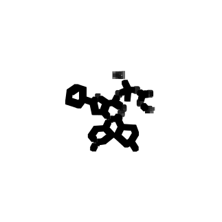 CC1CCC(C(=O)N(c2cc(-c3ccccc3)sc2C(=O)OC(C)(C)OC(=O)OC(C)C)C2CCN(C)CC2)CC1.Cl